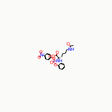 CC(=O)NCCCC[C@H](NP(=O)(Oc1ccccc1)Oc1ccc([N+](=O)[O-])cc1)C(=O)O